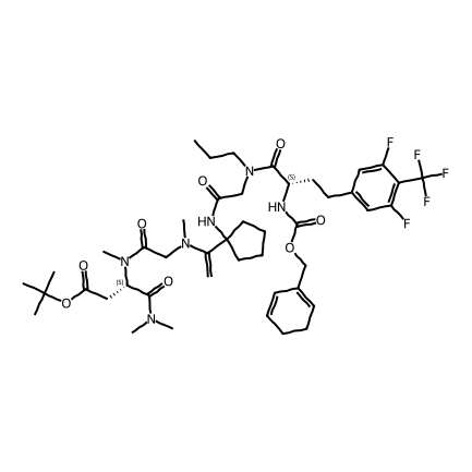 C=C(N(C)CC(=O)N(C)[C@@H](CC(=O)OC(C)(C)C)C(=O)N(C)C)C1(NC(=O)CN(CCC)C(=O)[C@H](CCc2cc(F)c(C(F)(F)F)c(F)c2)NC(=O)OCC2=CCCC=C2)CCCC1